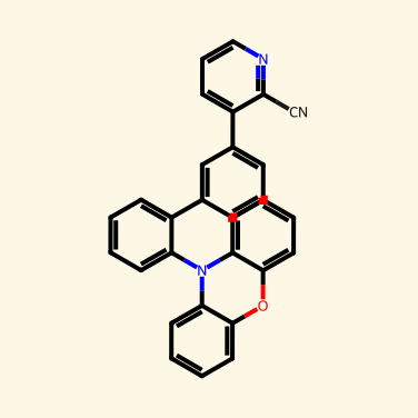 N#Cc1ncccc1-c1cccc(-c2ccccc2N2c3ccccc3Oc3ccccc32)c1